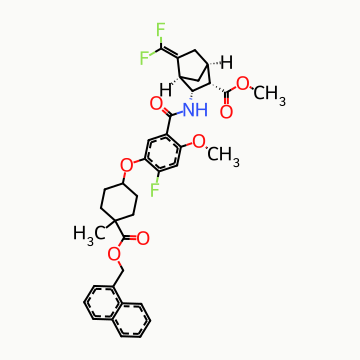 COC(=O)[C@H]1[C@@H]2CC(=C(F)F)[C@@H](C2)[C@H]1NC(=O)c1cc(OC2CCC(C)(C(=O)OCc3cccc4ccccc34)CC2)c(F)cc1OC